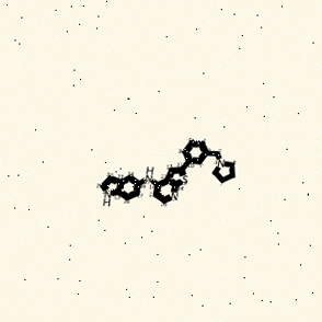 c1cc(CN2CCCC2)cc(-c2cc3c(Nc4ccc5[nH]ccc5c4)ccnc3s2)c1